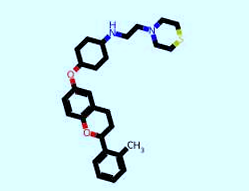 Cc1ccccc1C1CCc2cc(OC3CCC(NCCN4CCSCC4)CC3)ccc2O1